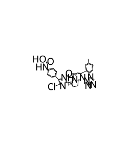 Cc1ccc(-n2cnnn2)c(-c2cc(=O)n3c(n2)CC[C@H]3c2nc(Cl)c(-c3ccc(NC(=O)O)cc3)[nH]2)c1